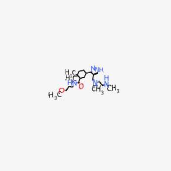 CNCCN(C)Cc1c[nH]nc1C1CCC(C)(C)C(C(=O)NCCCOC)C1